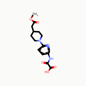 COC(=O)CC1CCN(c2ccc(NC(=O)C(=O)O)cn2)CC1